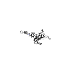 COc1ccc2c(Oc3ccc(/C=C/OC=O)cc3)c(C(=O)c3c(C)cc(C)cc3C)sc2c1